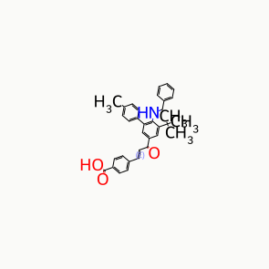 Cc1ccc(-c2cc(C(=O)/C=C/c3ccc(C(=O)O)cc3)cc(C(C)(C)C)c2NCc2ccccc2)cc1